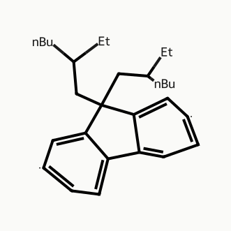 CCCCC(CC)CC1(CC(CC)CCCC)c2c[c]ccc2-c2cc[c]cc21